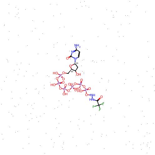 Nc1ccn([C@H]2CC(O)[C@@H](COP(=O)(O)OP(=O)(O)OP(=O)(O)OP(=O)(O)OP(=O)(O)OP(=O)(O)ONNC(=O)C(F)(F)F)O2)c(=O)n1